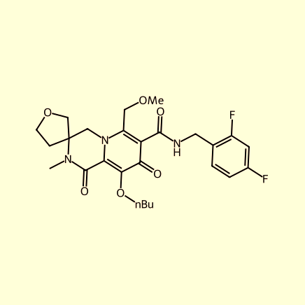 CCCCOc1c2n(c(COC)c(C(=O)NCc3ccc(F)cc3F)c1=O)CC1(CCOC1)N(C)C2=O